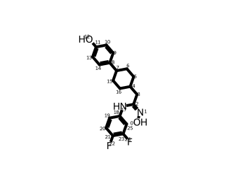 O/N=C(/CC1CCC(c2ccc(O)cc2)CC1)Nc1ccc(F)c(F)c1